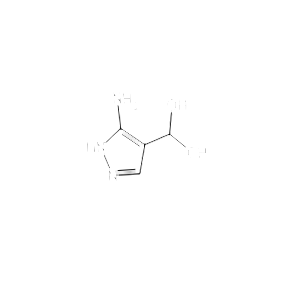 Nc1[nH]ncc1C(O)O